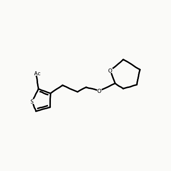 CC(=O)c1sccc1CCCOC1CCCCO1